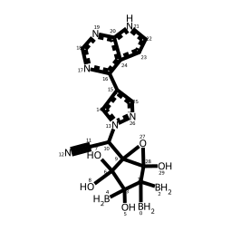 BC1(B)C(B)(O)C(O)(O)C2(C(C#N)n3cc(-c4ncnc5[nH]ccc45)cn3)OC12O